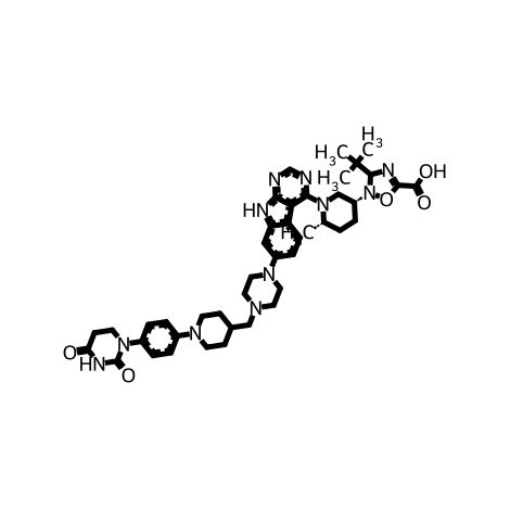 C[C@H]1CC[C@@H](N2OC(C(=O)O)=NC2C(C)(C)C)CN1c1ncnc2[nH]c3cc(N4CCN(CC5CCN(c6ccc(N7CCC(=O)NC7=O)cc6)CC5)CC4)ccc3c12